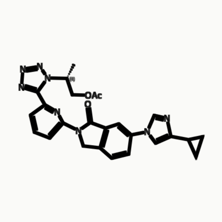 CC(=O)OC[C@@H](C)n1nnnc1-c1cccc(N2Cc3ccc(-n4cnc(C5CC5)c4)cc3C2=O)n1